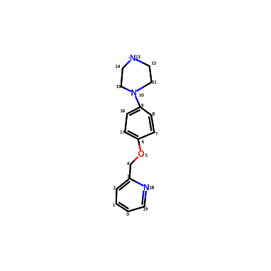 c1ccc(COc2ccc(N3CC[N]CC3)cc2)nc1